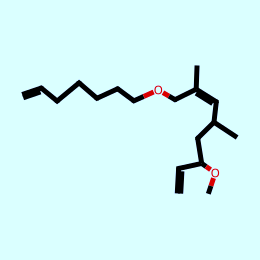 C=CCCCCCOC/C(C)=C\C(C)CC(C=C)OC